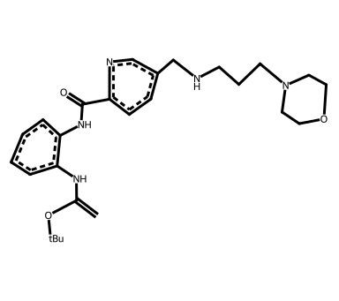 C=C(Nc1ccccc1NC(=O)c1ccc(CNCCCN2CCOCC2)cn1)OC(C)(C)C